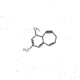 CC1=CN(C)C2C#CCC=CC2=C1